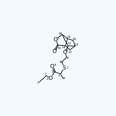 CCOC(=O)C(C)SCCOC1C2CC3C(=O)OC1C3C2